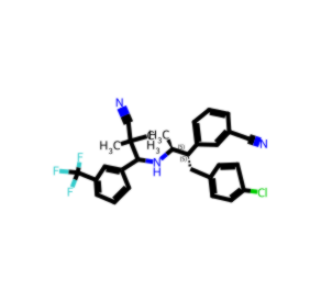 C[C@H](NC(c1cccc(C(F)(F)F)c1)C(C)(C)C#N)[C@@H](Cc1ccc(Cl)cc1)c1cccc(C#N)c1